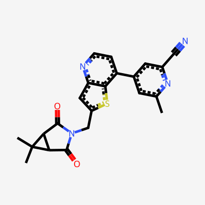 Cc1cc(-c2ccnc3cc(CN4C(=O)C5C(C4=O)C5(C)C)sc23)cc(C#N)n1